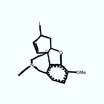 COc1ccc2c3c1OC1CC(I)C=C[C@@]31CCN(C)C2